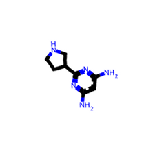 Nc1cc(N)nc(C2CCNC2)n1